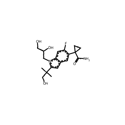 CC(C)(CO)c1cc2cc(C3(C(N)=O)CC3)c(F)cc2n1CC(O)CO